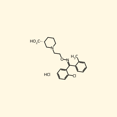 Cc1ccccc1C(=NOCCN1CCC[C@@H](C(=O)O)C1)c1ccccc1Cl.Cl